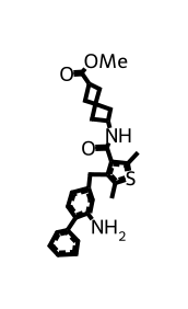 COC(=O)C1CC2(CC(NC(=O)c3c(C)sc(C)c3Cc3ccc(-c4ccccc4)c(N)c3)C2)C1